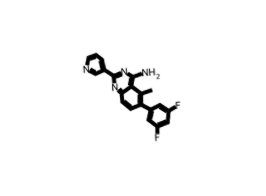 Cc1c(-c2cc(F)cc(F)c2)ccc2nc(-c3cccnc3)nc(N)c12